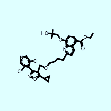 CCOC(=O)c1ccc(OCC(C)(C)O)c2nc(CCCCOCc3c(-c4c(Cl)cncc4Cl)noc3C3CC3)ccc12